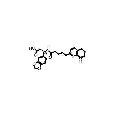 O=C(O)C[C@H](NC(=O)CCCCc1ccc2c(n1)NCCC2)c1ccc2c(c1)OCO2